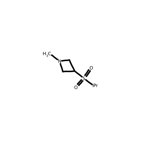 CC(C)S(=O)(=O)C1CN(C)C1